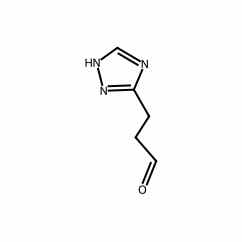 O=CCCc1nc[nH]n1